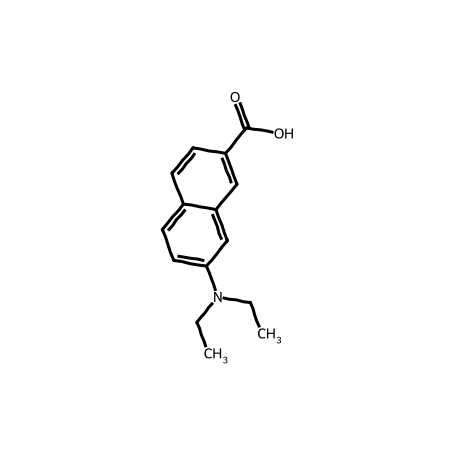 CCN(CC)c1ccc2ccc(C(=O)O)cc2c1